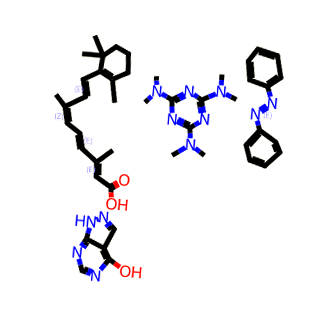 CC1=C(/C=C/C(C)=C\C=C\C(C)=C\C(=O)O)C(C)(C)CCC1.CN(C)c1nc(N(C)C)nc(N(C)C)n1.Oc1ncnc2[nH]ncc12.c1ccc(/N=N/c2ccccc2)cc1